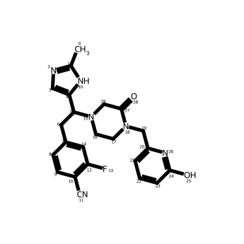 Cc1ncc(C(Cc2ccc(C#N)c(F)c2)N2CCN(Cc3cccc(O)n3)C(=O)C2)[nH]1